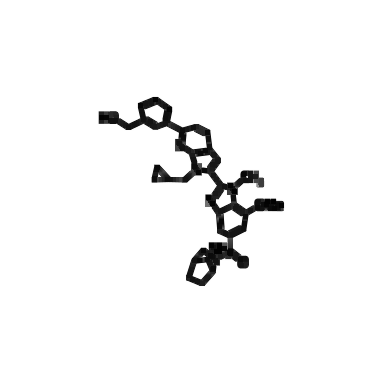 COc1cc(C(=O)N2CC3CCC2C3N)cc2nc(-c3cc4ccc(-c5cccc(CO)c5)nc4n3CC3CC3)n(C)c12